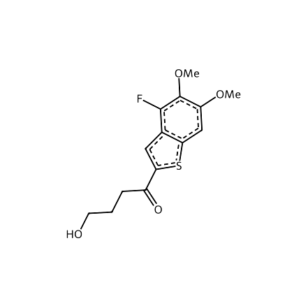 COc1cc2sc(C(=O)CCCO)cc2c(F)c1OC